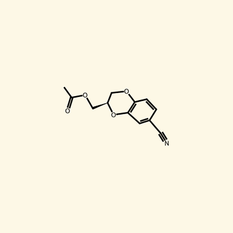 CC(=O)OC[C@H]1COc2ccc(C#N)cc2O1